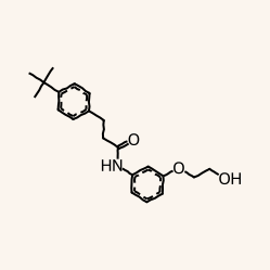 CC(C)(C)c1ccc(CCC(=O)Nc2cccc(OCCO)c2)cc1